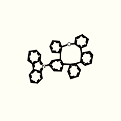 c1ccc2c(c1)Oc1ccccc1-c1cc(-n3c4ccccc4c4ccccc43)ccc1-c1ccccc1-c1ccccc1-2